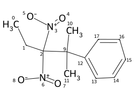 CCC([N+](=O)[O-])([N+](=O)[O-])C(C)(C)c1ccccc1